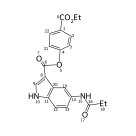 CCOC(=O)c1ccc(OC(=O)c2c[nH]c3ccc(NC(=O)CC)cc23)cc1